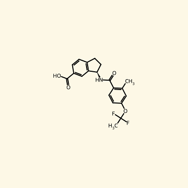 Cc1cc(OC(C)(F)F)ccc1C(=O)N[C@@H]1CCc2ccc(C(=O)O)cc21